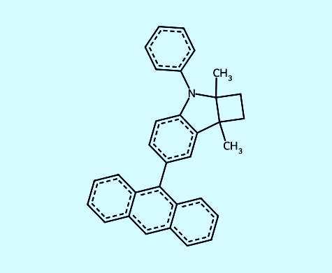 CC12CCC1(C)N(c1ccccc1)c1ccc(-c3c4ccccc4cc4ccccc34)cc12